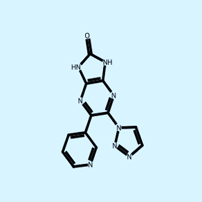 O=c1[nH]c2nc(-c3cccnc3)c(-n3ccnn3)nc2[nH]1